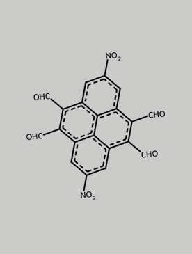 O=Cc1c(C=O)c2cc([N+](=O)[O-])cc3c(C=O)c(C=O)c4cc([N+](=O)[O-])cc1c4c23